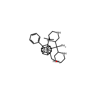 CC(C)(C)[C]12[C]3(c4ccccc4)[CH]4[C]5(CP)[C]1(C(P)(C1CNCCN1)C1CNCCN1)[Fe]45321678[CH]2[CH]1[CH]6[CH]7[CH]28